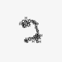 Cc1ccc(NC(=O)c2ccc(CN3CCN(C(=O)CCOCCOCCC(=O)NC(C(=O)N4CC(O)CC4C(=O)NCc4ccc(-c5scnc5C)cc4)C(C)(C)C)CC3)cc2)cc1Nc1nccc(-c2cccnc2)n1